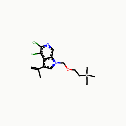 C=C(C)c1cn(COCC[Si](C)(C)C)c2cnc(Cl)c(F)c12